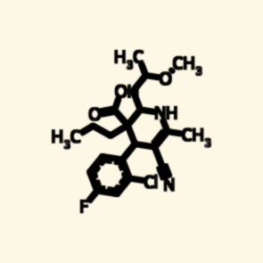 CCCC1(C(=O)O)C(CC(C)OC)NC(C)=C(C#N)C1c1ccc(F)cc1Cl